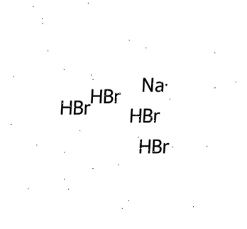 Br.Br.Br.Br.[Na]